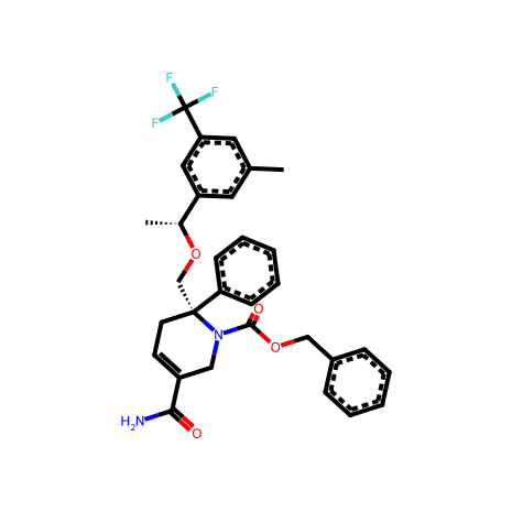 Cc1cc([C@@H](C)OC[C@@]2(c3ccccc3)CC=C(C(N)=O)CN2C(=O)OCc2ccccc2)cc(C(F)(F)F)c1